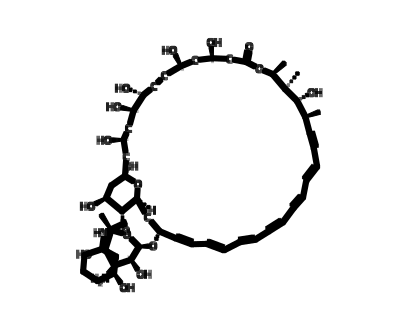 C[C@@H]1[C@H](O)[C@@H](C)/C=C/C=C/C=C/C=C/C=C/C=C/C=C/[C@H](O[C@@H]2O[C@H](C)[C@@H](O)[C@H](N)[C@@H]2O)C[C@@H]2O[C@](O)(C[C@@H](O)C[C@@H](O)[C@H](O)CC[C@@H](O)C[C@@H](O)CC(=O)O[C@H]1C)C[C@H](O)[C@H]2C(=O)NC1CCC[C@H](O)C1